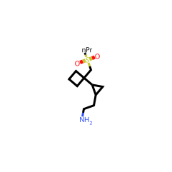 CCCS(=O)(=O)CC1(C2CC2CCN)CCC1